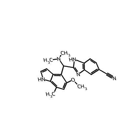 COc1cc(C)c2[nH]ccc2c1C(c1nc2cc(C#N)ccc2[nH]1)N(C)C